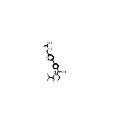 O=C(O)NCc1ccc(-c2ccc([C@@H](O)[C@@H](CF)NC(=O)C(F)F)cc2)cn1